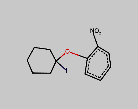 O=[N+]([O-])c1ccccc1OC1(I)CCCCC1